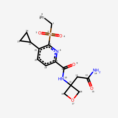 CC(C)CS(=O)(=O)c1nc(C(=O)NC2(CC(N)=O)COC2)ccc1C1CC1